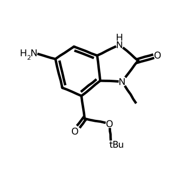 Cn1c(=O)[nH]c2cc(N)cc(C(=O)OC(C)(C)C)c21